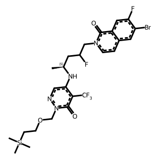 C[C@@H](CC(F)Cn1ccc2cc(Br)c(F)cc2c1=O)Nc1cnn(COCC[Si](C)(C)C)c(=O)c1C(F)(F)F